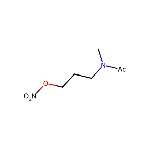 CC(=O)N(C)CCCO[N+](=O)[O-]